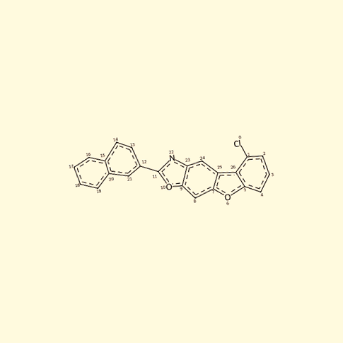 Clc1cccc2oc3cc4oc(-c5ccc6ccccc6c5)nc4cc3c12